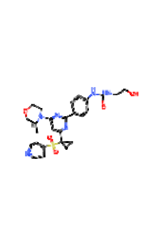 C[C@H]1COCCN1c1cc(C2(S(=O)(=O)c3ccncc3)CC2)nc(-c2ccc(NC(=O)NCCO)cc2)n1